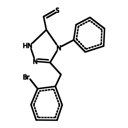 S=CC1NN=C(Cc2ccccc2Br)N1c1ccccc1